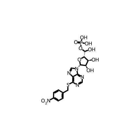 O=[N+]([O-])c1ccc(CSc2ncnc3c2ncn3[C@@H]2O[C@H](C(O)OP(=O)(O)O)[C@@H](O)[C@H]2O)cc1